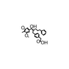 COc1cc(C(O)[C@@H](CCCc2ccccc2)Cc2ccc(CC(=O)O)cc2)cc(OC)c1C